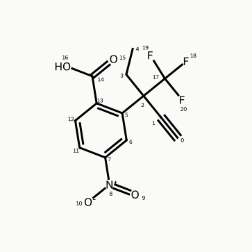 C#CC(CC)(c1cc([N+](=O)[O-])ccc1C(=O)O)C(F)(F)F